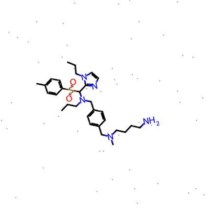 CCCN(Cc1ccc(CN(C)CCCCN)cc1)C(c1nccn1CCC)S(=O)(=O)c1ccc(C)cc1